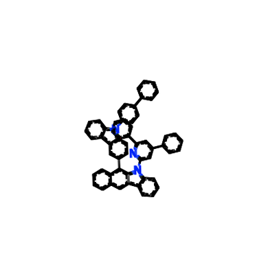 c1ccc(-c2ccc(-n3c4ccccc4c4cc(-c5c6ccccc6cc6c7ccccc7n(-c7cc(-c8ccccc8)cc(-c8ccccc8)n7)c56)ccc43)cc2)cc1